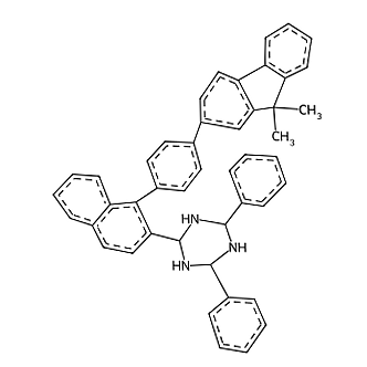 CC1(C)c2ccccc2-c2ccc(-c3ccc(-c4c(C5NC(c6ccccc6)NC(c6ccccc6)N5)ccc5ccccc45)cc3)cc21